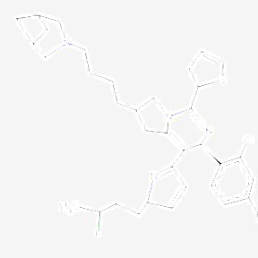 CC(F)CCC1C=CC(C2=C3CC(CCCCN4CC5CC(C5)C4)CN3C(C3CC=CS3)=N[C@H]2c2ccc(F)cc2Cl)=N1